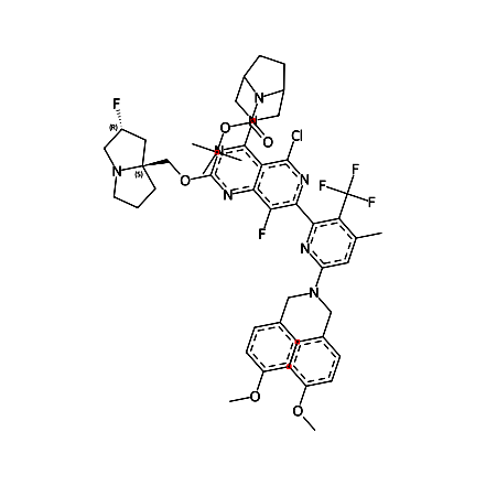 COc1ccc(CN(Cc2ccc(OC)cc2)c2cc(C)c(C(F)(F)F)c(-c3nc(Cl)c4c(N5CC6CCC(C5)N6C(=O)OC(C)(C)C)nc(OC[C@@]56CCCN5C[C@H](F)C6)nc4c3F)n2)cc1